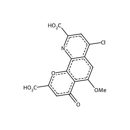 COc1cc2c(Cl)cc(C(=O)O)nc2c2oc(C(=O)O)cc(=O)c12